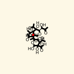 CC(=O)C(O)[C@H]1O[C@H](C2(O)[C@H](C(O)C(C)=O)OC(O)C(O)(C(C)=O)C2(O)C(C)=O)[C@@](O)(C(C)=O)[C@](O)(C(C)=O)[C@@]1(O)C(C)=O